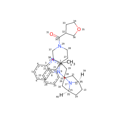 Cc1nc2ccccc2n1C1C[C@H]2CC[C@@H](C1)N2CCC1(c2ccccc2)CCN(C(=O)C2CCOC2)CC1